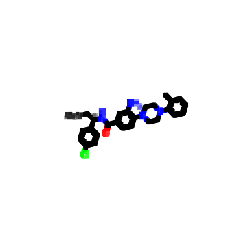 CNC[C@@H](NC(=O)c1ccc(N2CCN(c3ccccc3C)CC2)c(N)c1)c1ccc(Cl)cc1